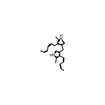 C/C=C\C=C/Cc1c(Cc2c[nH]c(C)c2/C=C\C=C/C)c[nH]c1C